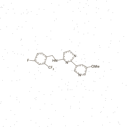 COc1cncc(-c2nccc(NCc3ccc(F)cc3C(F)(F)F)n2)c1